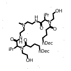 CCCCCCCCCCCCCC(=O)N(CCO)C(C(=O)NCCN(C)CCNC(=O)C(C(C)C)N(CCO)C(=O)CCCCCCCCCCCCC)C(C)C